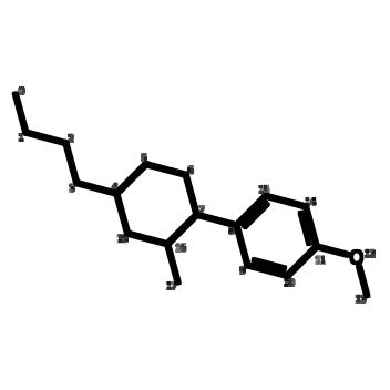 CCCCC1CCC(c2ccc(OC)cc2)C(C)C1